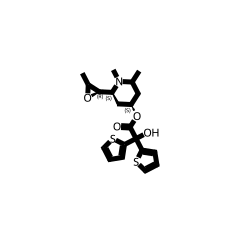 CC1O[C@@H]1[C@@H]1C[C@@H](OC(=O)C(O)(c2cccs2)c2cccs2)CC(C)N1C